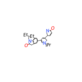 CCC(CC)CN1C(=O)Cc2cc(C3=CN(C(C)C)CC(C4C=CC(=O)N=C4)=C3)ccc21